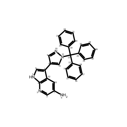 Nc1cnc2[nH]cc(-c3cnn(C(c4ccccc4)(c4ccccc4)c4ccccc4)c3)c2c1